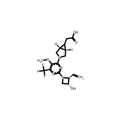 C=C[C@H]1[C@H](O)CN1c1nc(N2C[C@@H]3C(CC(=O)O)[C@@H]3C2)c(OC)c(C(F)(F)F)n1